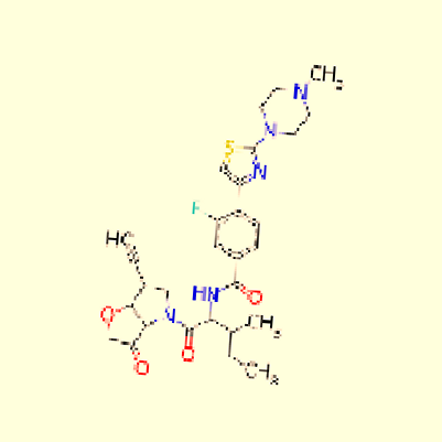 C#CC1CN(C(=O)C(NC(=O)c2ccc(-c3csc(N4CCN(C)CC4)n3)c(F)c2)C(C)CC)C2C(=O)COC12